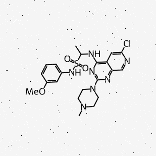 COc1cccc(NS(=O)(=O)C(C)Nc2nc(N3CCN(C)CC3)nc3cnc(Cl)cc23)c1